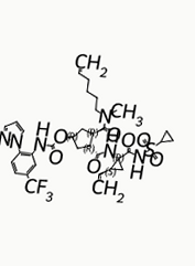 C=CCCCCN(C)C(=O)[C@@H]1C[C@H](OC(=O)Nc2cc(C(F)(F)F)ccc2-n2cccn2)C[C@H]1C(=O)N[C@]1(C(=O)NS(=O)(=O)C2CC2)C[C@H]1C=C